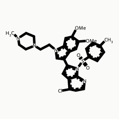 COc1cc2c(-c3cc4c(Cl)ccnc4n3S(=O)(=O)c3ccc(C)cc3)cn(CCN3CCN(C)CC3)c2cc1OC